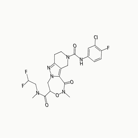 CN(CC(F)F)C(=O)C1Cn2nc3c(c2C(=O)N(C)O1)CN(C(=O)Nc1ccc(F)c(Cl)c1)CC3